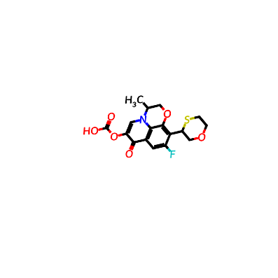 CC1COc2c(C3COCCS3)c(F)cc3c(=O)c(OC(=O)O)cn1c23